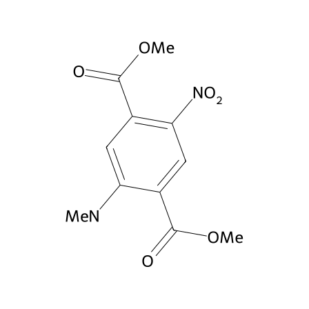 CNc1cc(C(=O)OC)c([N+](=O)[O-])cc1C(=O)OC